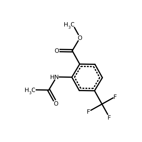 COC(=O)c1ccc(C(F)(F)F)cc1NC(C)=O